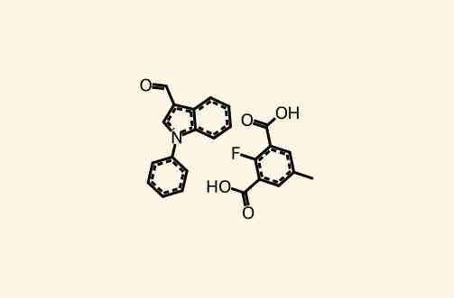 Cc1cc(C(=O)O)c(F)c(C(=O)O)c1.O=Cc1cn(-c2ccccc2)c2ccccc12